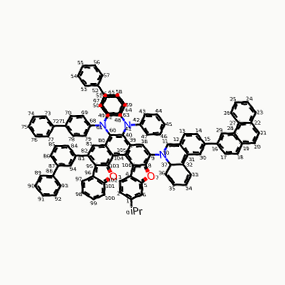 CC(C)c1ccc2c(c1)oc1c(N3C=c4ccc(-c5ccc6ccc7ccccc7c6c5)cc4=C4C=CC=CC43)cc3c(N(c4ccccc4)c4ccc(-c5ccccc5)cc4)c(N(c4ccccc4)c4ccc(-c5ccccc5)cc4)c4cc(-c5cccc(-c6ccccc6)c5)c5c6ccccc6oc5c4c3c12